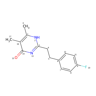 Cc1[nH]c(CCc2ccc(F)cc2)nc(=O)c1C